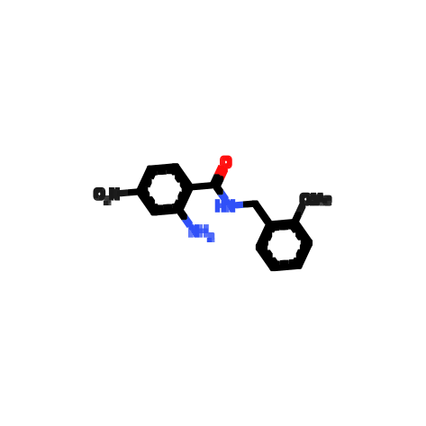 COc1ccccc1CNC(=O)c1ccc([N+](=O)[O-])cc1N